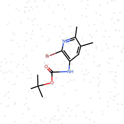 Cc1cc(NC(=O)OC(C)(C)C)c(Br)nc1C